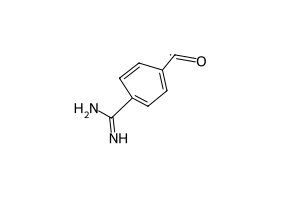 N=C(N)c1ccc([C]=O)cc1